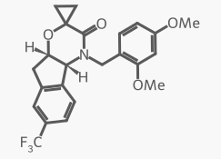 COc1ccc(CN2C(=O)C3(CC3)O[C@H]3Cc4cc(C(F)(F)F)ccc4[C@H]32)c(OC)c1